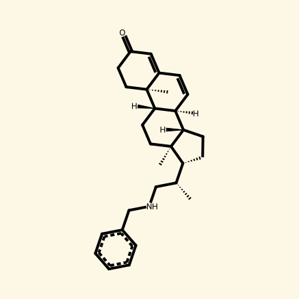 C[C@H](CNCc1ccccc1)[C@H]1CC[C@H]2[C@@H]3C=CC4=CC(=O)CC[C@]4(C)[C@H]3CC[C@]12C